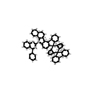 c1ccc(-c2nc(-n3c4ccc5c(c4c4ccc6ccccc6c43)-c3ccccc3C53c4ccccc4C4(c5ccccc5-c5ccccc54)c4ccccc43)nc3ccccc23)cc1